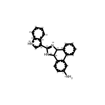 Nc1ccc2c(c1)-c1ccccc1C1N=C(c3c[nH]c4ccccc34)NC21